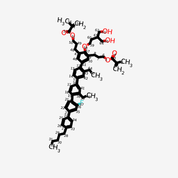 C=C(C)C(=O)OCCCc1cc(-c2ccc(-c3ccc(-c4ccc(-c5ccc(CCCCC)cc5)cc4F)c(CC)c3)cc2CC)cc(CCCOC(=O)C(=C)C)c1OCCC(CO)CO